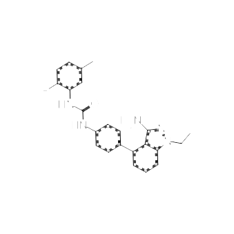 CCn1nc(N)c2c(-c3ccc(NC(=O)Nc4cc(C)ccc4F)cc3)cccc21